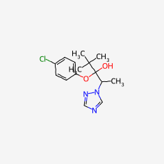 CC(n1cncn1)C(O)(Oc1ccc(Cl)cc1)C(C)(C)C